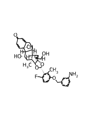 Cc1c(OCc2cccc(N)c2)ccc(F)c1[C@H]1O[C@@H]2C[C@H]3[C@@H]4CCC5=CC(=O)C=C[C@]5(C)[C@H]4[C@@H](O)C[C@]3(C)[C@]2(C(=O)CO)O1